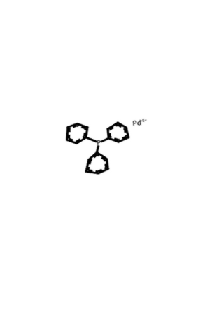 [Pd-4].c1ccc(P(c2ccccc2)c2ccccc2)cc1